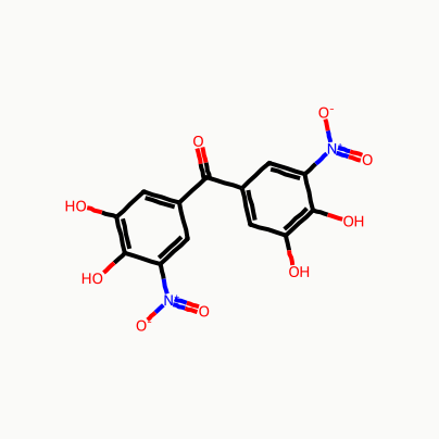 O=C(c1cc(O)c(O)c([N+](=O)[O-])c1)c1cc(O)c(O)c([N+](=O)[O-])c1